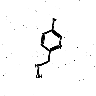 OPCc1ccc(Br)cn1